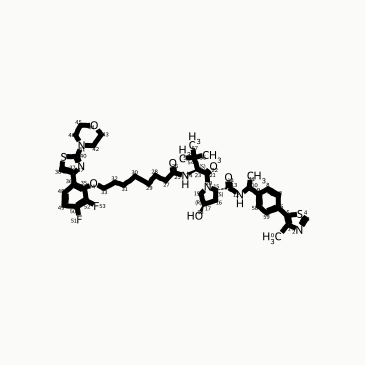 Cc1ncsc1-c1ccc(C(C)NC(=O)[C@@H]2C[C@@H](O)CN2C(=O)[C@@H](NC(=O)CCCCCCCOc2c(-c3csc(N4CCOCC4)n3)ccc(F)c2F)C(C)(C)C)cc1